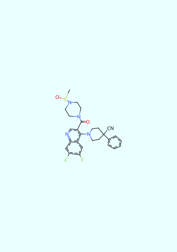 C[S+]([O-])N1CCN(C(=O)c2cnc3cc(F)c(F)cc3c2N2CCC(C#N)(c3ccccc3)CC2)CC1